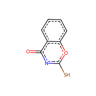 O=c1nc(S)oc2ccccc12